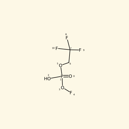 O=P(O)(OF)OCC(F)(F)F